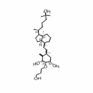 C=C1/C(=C\C=C2/CCC[C@]3(C)C([C@@H](C)CCCC(C)(C)O)CC[C@@H]23)C[C@@H](O)[C@@H](OCCCO)[C@@H]1O